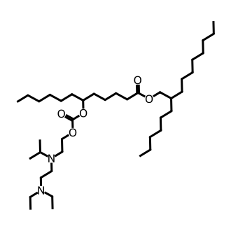 CCCCCCCCC(CCCCCC)COC(=O)CCCCC(CCCCCC)OC(=O)OCCN(CCN(CC)CC)C(C)C